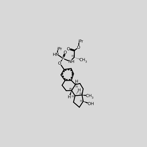 CC(C)NP(=O)(N[C@@H](C)C(=O)OC(C)C)Oc1ccc2c(c1)CC[C@@H]1[C@@H]2CC[C@]2(C)[C@@H](O)CC[C@@H]12